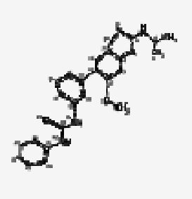 COc1cc2nc(NC(C)C)ncc2cc1-c1cccc(NC(=O)Nc2ccccc2)c1